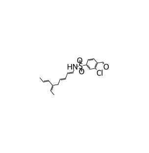 C/C=C/C(=C/C)CC=C/C=C/NS(=O)(=O)c1ccc(C=O)c(Cl)c1